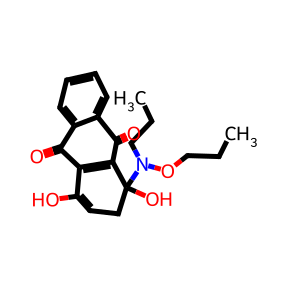 CCCON(CCC)C1(O)CC=C(O)C2=C1C(=O)c1ccccc1C2=O